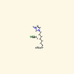 CCCCCCCCCCCCCCCCN1C=CN(C)C1.Cl.[InH3]